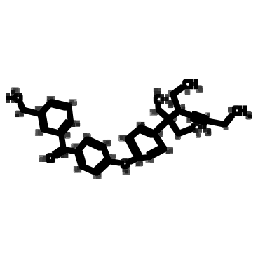 CCC#CC(CC)C(CC)(CC)c1ccc(Oc2ccc(C(=O)c3cccc(CO)c3)cc2)cc1